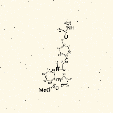 CCNC(=S)OCc1ccc(OC2CN(c3cccc(C(=O)OC)c3-n3cccc3)C2)cc1